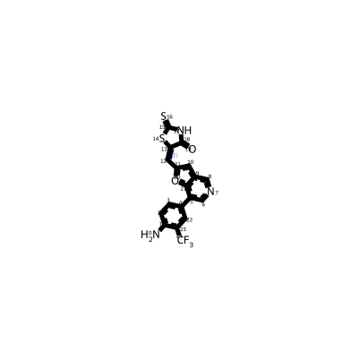 Nc1ccc(-c2cncc3cc(/C=C4/SC(=S)NC4=O)oc23)cc1C(F)(F)F